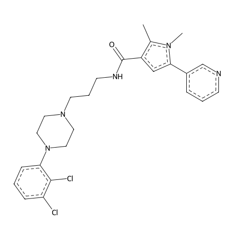 Cc1c(C(=O)NCCCN2CCN(c3cccc(Cl)c3Cl)CC2)cc(-c2cccnc2)n1C